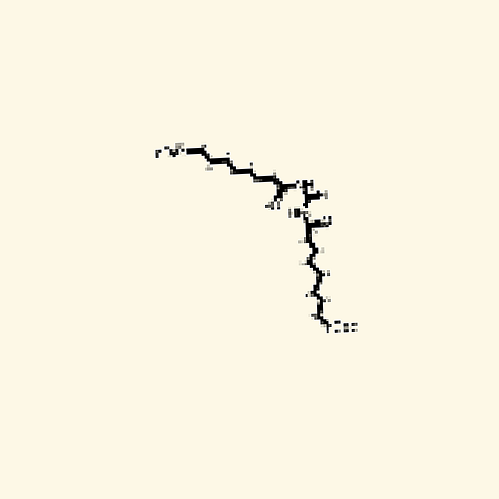 [CH2]CC(NC(=O)CCCCCCCCCCCCCCCCC)NC(=O)CCCCCCCCCCCCCCCCC